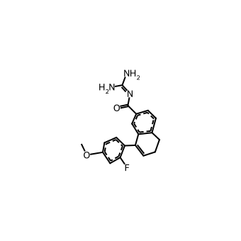 COc1ccc(C2=CCCc3ccc(C(=O)N=C(N)N)cc32)c(F)c1